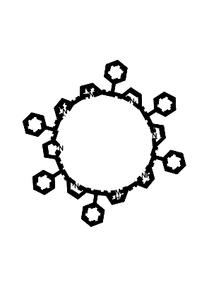 Cn1c2ccc1c1ccc(c(-c3ccccc3)c3nc(c(-c4ccccc4)c4nc(c(-c5ccccc5)c5ccc([nH]5)c5ccc([nH]5)c(-c5ccccc5)c5nc(c(-c6ccccc6)c6nc(c2-c2ccccc2)C=C6)C=C5)C=C4)C=C3)n1C